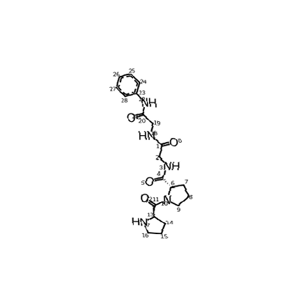 O=C(CNC(=O)[C@@H]1CCCN1C(=O)[C@H]1CCCN1)NCC(=O)Nc1ccccc1